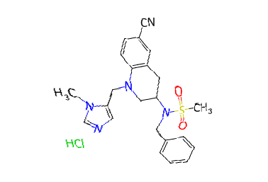 Cl.Cn1cncc1CN1CC(N(Cc2ccccc2)S(C)(=O)=O)Cc2cc(C#N)ccc21